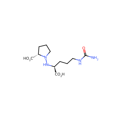 NC(=O)NCCC[C@H](NN1CCC[C@H]1C(=O)O)C(=O)O